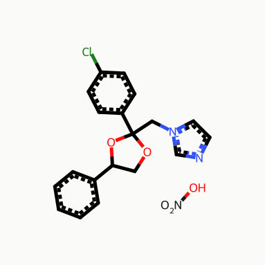 Clc1ccc(C2(Cn3ccnc3)OCC(c3ccccc3)O2)cc1.O=[N+]([O-])O